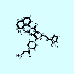 C=CC(=O)N1CCN(c2nc(OCC3CCCN3C)nc3c(=O)n(-c4cccc5ccccc45)c(C)nc23)CC1